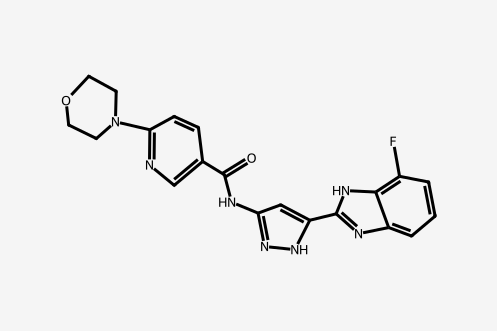 O=C(Nc1cc(-c2nc3cccc(F)c3[nH]2)[nH]n1)c1ccc(N2CCOCC2)nc1